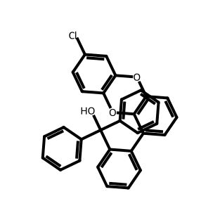 OC(c1ccccc1)(c1ccccc1)c1ccccc1-c1cccc2c1Oc1ccc(Cl)cc1O2